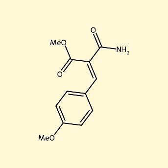 COC(=O)/C(=C\c1ccc(OC)cc1)C(N)=O